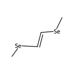 C[Se]C=C[Se]C